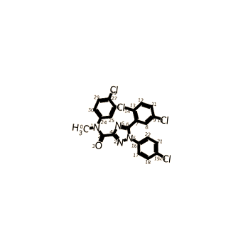 CN(C(=O)c1nc(-c2cc(Cl)ccc2Cl)n(-c2ccc(Cl)cc2)n1)c1ccc(Cl)cc1